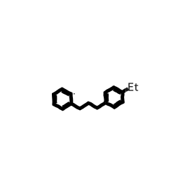 CCc1ccc(CCCc2[c]cccc2)cc1